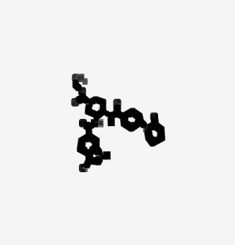 CCOC(=O)N1CC[C@@H](NC(=O)c2ccc(-n3ccccc3=O)cc2)[C@@H](NC(=O)c2ccc3c(Cl)c[nH]c3c2)C1